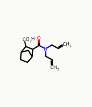 C=CCN(CC=C)C(=O)C1C2CCC(C2)C1C(=O)O